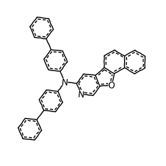 c1ccc(-c2ccc(N(c3ccc(-c4ccccc4)cc3)c3cc4c(cn3)oc3c5ccccc5ccc43)cc2)cc1